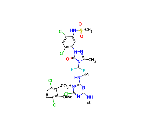 CCNc1nc(Cl)nc(NC(C)C)n1.COc1c(Cl)ccc(Cl)c1C(=O)O.Cc1nn(-c2cc(NS(C)(=O)=O)c(Cl)cc2Cl)c(=O)n1C(F)F